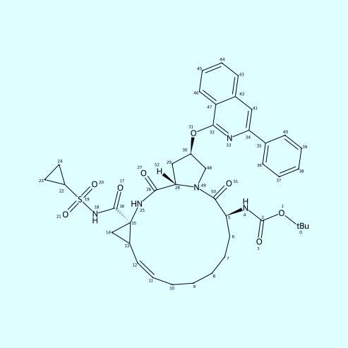 CC(C)(C)OC(=O)N[C@H]1CCCCC/C=C\C2C[C@@]2(C(=O)NS(=O)(=O)C2CC2)NC(=O)[C@@H]2C[C@@H](Oc3nc(-c4ccccc4)cc4ccccc34)CN2C1=O